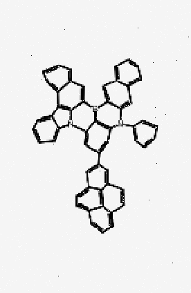 c1ccc(N2c3cc4ccccc4cc3B3c4c2cc(-c2cc5ccc6cccc7ccc(c2)c5c67)cc4-n2c4ccccc4c4c5ccccc5cc3c42)cc1